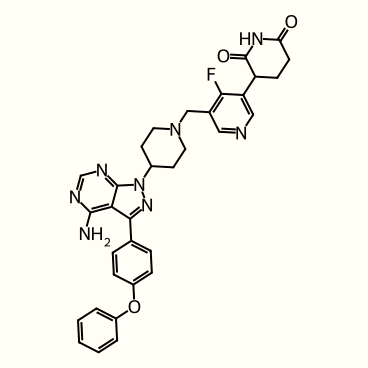 Nc1ncnc2c1c(-c1ccc(Oc3ccccc3)cc1)nn2C1CCN(Cc2cncc(C3CCC(=O)NC3=O)c2F)CC1